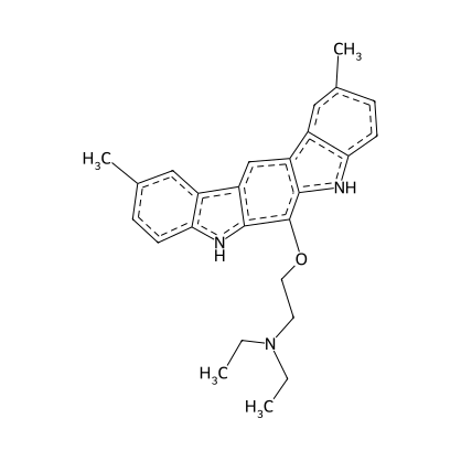 CCN(CC)CCOc1c2[nH]c3ccc(C)cc3c2cc2c1[nH]c1ccc(C)cc12